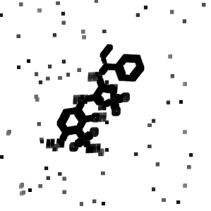 CC[C@@H](NC1=NS(=O)(=O)N=C1Nc1ccc(N)c(S(N)(=O)=O)c1O)c1ccccc1